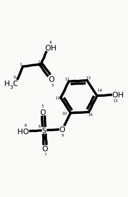 CCC(=O)O.O=S(=O)(O)Oc1cccc(O)c1